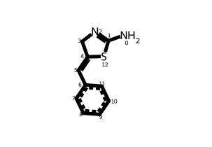 NC1=NCC(=Cc2ccccc2)S1